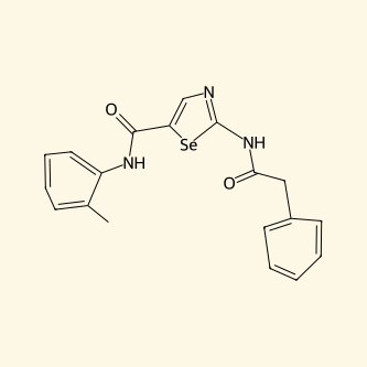 Cc1ccccc1NC(=O)c1cnc(NC(=O)Cc2ccccc2)[se]1